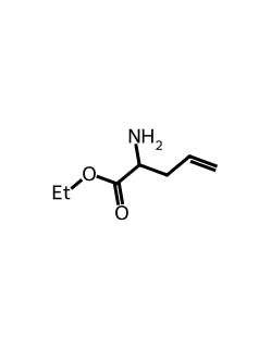 C=CCC(N)C(=O)OCC